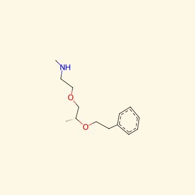 CNCCOC[C@@H](C)OCCc1ccccc1